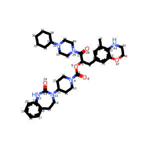 Cc1cc(CC(OC(=O)N2CCC(N3CCc4ccccc4NC3=O)CC2)C(=O)N2CCN(C3CCCCC3)CC2)cc2c1NCCO2